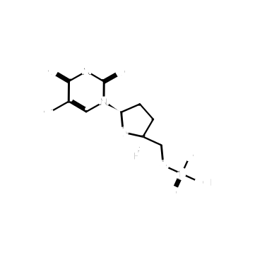 O=c1[nH]c(=O)n([C@H]2CC[C@@](F)(COP(=O)(O)O)O2)cc1Cl